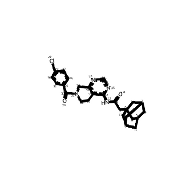 O=C(CC12CC3CC(CC(C3)C1)C2)Nc1ncnc2c1CCN(C(=O)c1ccc(Cl)cc1)C2